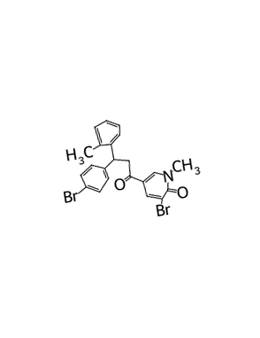 Cc1ccccc1C(CC(=O)c1cc(Br)c(=O)n(C)c1)c1ccc(Br)cc1